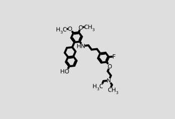 CCN(CC)CCOc1ccc(CCCNc2cc(OC)c(OC)cc2C2CCc3cc(O)ccc3C2)cc1F